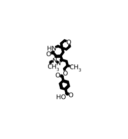 CCn1nc(CC(C)COC(=O)c2ccc(C(=O)O)cc2)c2c1C(=O)NCC1(CCOCC1)C2